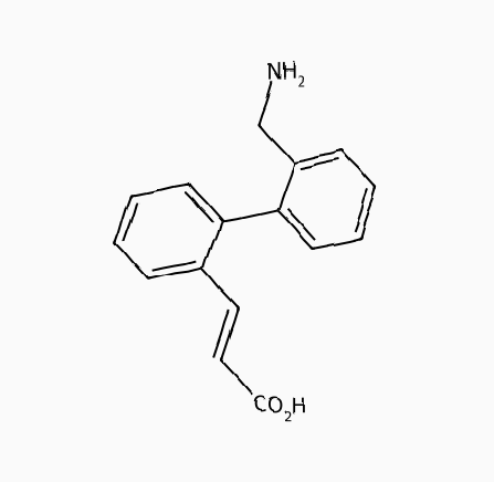 NCc1ccccc1-c1ccccc1/C=C/C(=O)O